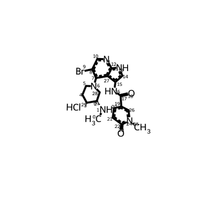 CN[C@@H]1CCCN(c2c(Br)cnc3[nH]cc(NC(=O)c4ccc(=O)n(C)c4)c23)C1.Cl